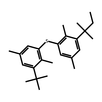 CCC(C)(C)c1cc(C)cc(Sc2cc(C)cc(C(C)(C)C)c2C)c1C